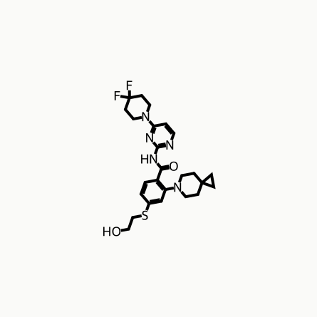 O=C(Nc1nccc(N2CCC(F)(F)CC2)n1)c1ccc(SCCO)cc1N1CCC2(CC1)CC2